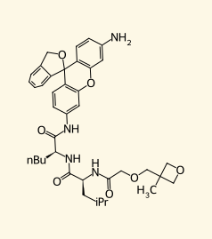 CCCC[C@H](NC(=O)[C@H](CC(C)C)NC(=O)COCC1(C)COC1)C(=O)Nc1ccc2c(c1)Oc1cc(N)ccc1C21OCc2ccccc21